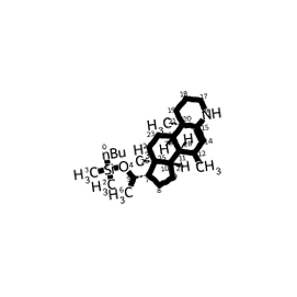 CCCC[Si](C)(C)OC(C)[C@H]1CC[C@H]2[C@@H]3C(C)C=C4NCCC[C@]4(C)[C@H]3CC[C@]12C